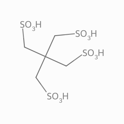 O=S(=O)(O)CC(CS(=O)(=O)O)(CS(=O)(=O)O)CS(=O)(=O)O